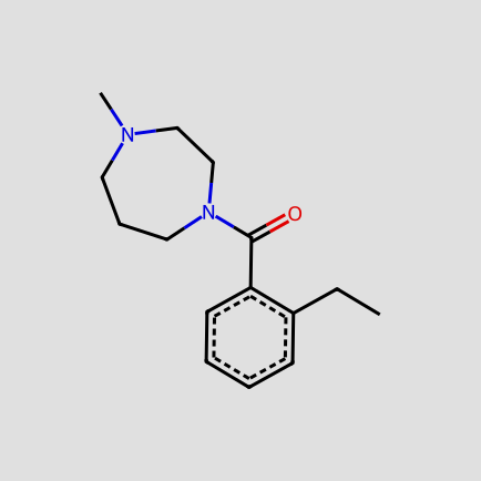 CCc1ccccc1C(=O)N1CCCN(C)CC1